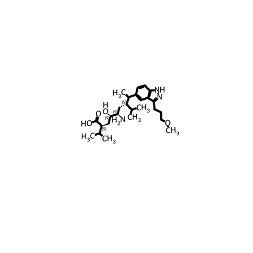 COCCCc1n[nH]c2ccc(C(C)[C@@H](C[C@H](N)[C@@H](O)C[C@H](C(=O)O)C(C)C)C(C)C)cc12